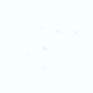 CCC(CC)NCc1cncn1C